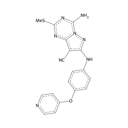 CSc1nc(N)n2nc(Nc3ccc(Oc4ccncc4)cc3)c(C#N)c2n1